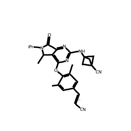 Cc1cc(/C=C/C#N)cc(C)c1Oc1nc(NC23CC(C#N)(C2)C3)nc2c1C(C)N(C(C)C)C2=O